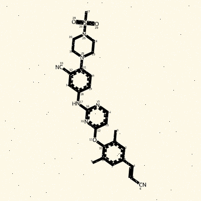 Cc1cc(C=CC#N)cc(C)c1Oc1ccnc(Nc2ccc(N3CCN(S(C)(=O)=O)CC3)c(C#N)c2)n1